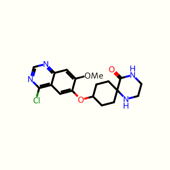 COc1cc2ncnc(Cl)c2cc1OC1CCC2(CC1)NCCNC2=O